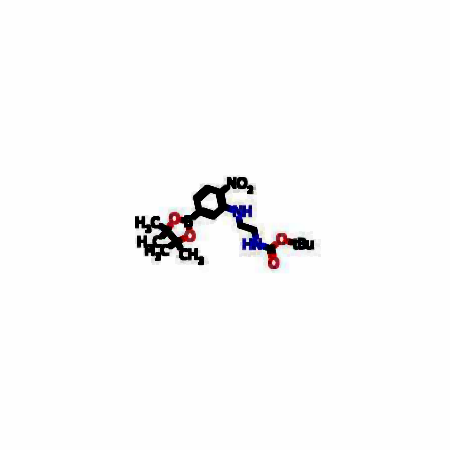 CC(C)(C)OC(=O)NCCNc1cc(B2OC(C)(C)C(C)(C)O2)ccc1[N+](=O)[O-]